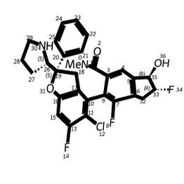 CNC(=O)c1cc2c(c(F)c1-c1c(Cl)c(F)cc3c1C[C@](c1ccccc1)([C@@H]1CCCN1)O3)C[C@@H](F)[C@@H]2O